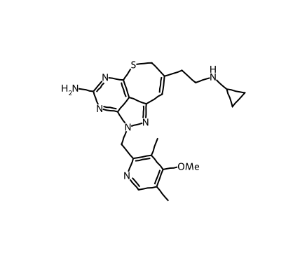 COc1c(C)cnc(Cn2nc3c4c(nc(N)nc42)SCC(CCNC2CC2)=C3)c1C